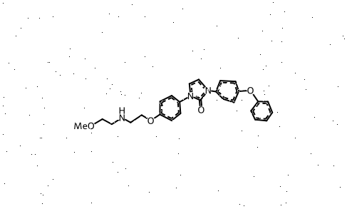 COCCNCCOc1ccc(-n2ccn(-c3ccc(Oc4ccccc4)cc3)c2=O)cc1